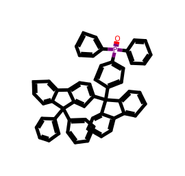 O=P(c1ccccc1)(c1ccccc1)c1ccc(C2(c3ccc4c(c3)C(c3ccccc3)(c3ccccc3)c3ccccc3-4)c3ccccc3-c3ccccc32)cc1